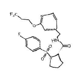 O=C(NCc1ccnc(OCCC(F)(F)F)c1)[C@@H]1CCCN1S(=O)(=O)c1ccc(F)cc1